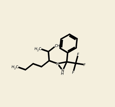 CCCCC(C(C)C)N1NC1(c1ccccc1)C(F)(F)F